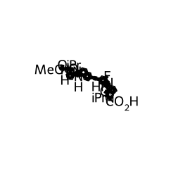 COC(=O)N[C@H](C(=O)N1CCCC1c1nc2c([nH]1)-c1ccc(C#Cc3cc(F)c4nc([C@@H]5CCCN5C(=O)[C@H](C(C)C)N(C)C(=O)O)[nH]c4c3)cc1CC2)C(C)C